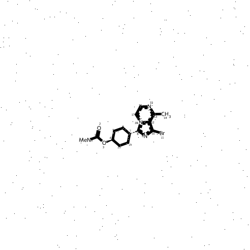 CNC(=O)O[C@H]1CC[C@H](c2nc(Br)c3c(C)nccn32)CC1